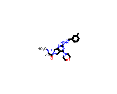 Cc1cccc(/C=N/Nc2nc3c(c(N4CCOCC4)n2)CN(C(=O)[C@H](C)NC(=O)O)C3)c1